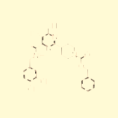 Cc1ccc(CNC(=O)c2nc(C3CCN(C(=O)OCc4ccccc4)CC3)nc(O)c2O)cc1Cl